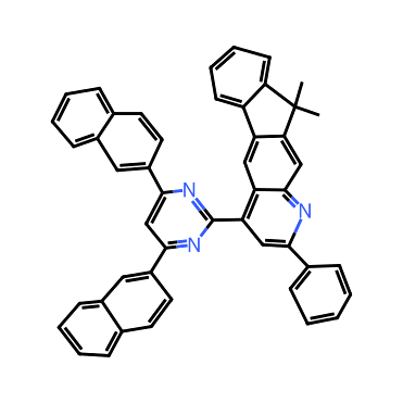 CC1(C)c2ccccc2-c2cc3c(-c4nc(-c5ccc6ccccc6c5)cc(-c5ccc6ccccc6c5)n4)cc(-c4ccccc4)nc3cc21